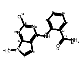 Cn1ccc2c(Nc3ccccc3C(N)=O)nc(Cl)nc21